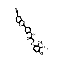 Cc1c(Cl)ccc(OCC(=O)Nc2ccc(-c3nc4cc(C#N)ccc4o3)cc2)c1C